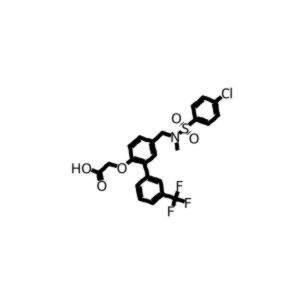 CN(Cc1ccc(OCC(=O)O)c(-c2cccc(C(F)(F)F)c2)c1)S(=O)(=O)c1ccc(Cl)cc1